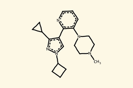 CN1CCN(c2cccnc2-c2cn(C3CCC3)nc2C2CC2)CC1